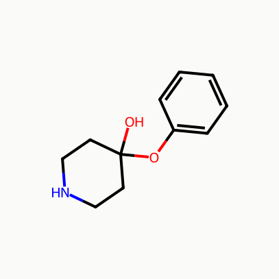 OC1(Oc2ccccc2)CCNCC1